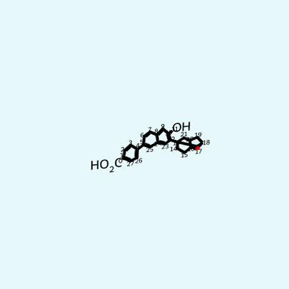 O=C(O)c1ccc(-c2ccc3cc(O)c(C45CCC6CC(CC6C4)C5)cc3c2)cc1